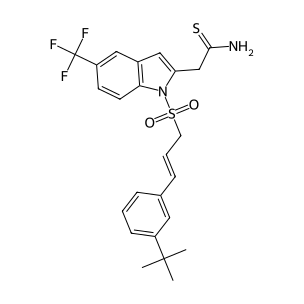 CC(C)(C)c1cccc(C=CCS(=O)(=O)n2c(CC(N)=S)cc3cc(C(F)(F)F)ccc32)c1